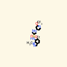 CCc1ccc2cnn(C)c2c1NS(=O)(=O)c1cnn(-c2ccnc(OC(F)(F)F)c2)c1